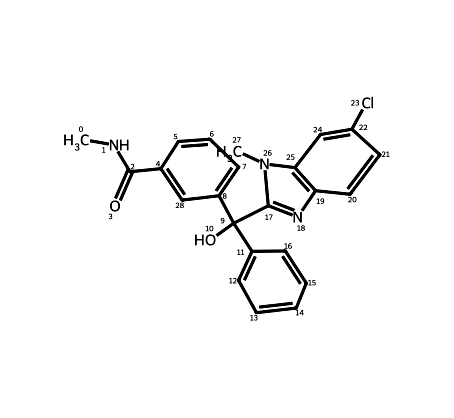 CNC(=O)c1cccc(C(O)(c2ccccc2)c2nc3ccc(Cl)cc3n2C)c1